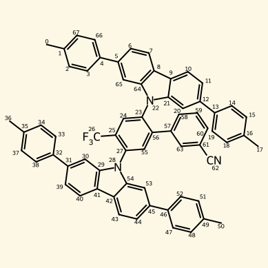 Cc1ccc(-c2ccc3c4ccc(-c5ccc(C)cc5)cc4n(-c4cc(C(F)(F)F)c(-n5c6cc(-c7ccc(C)cc7)ccc6c6ccc(-c7ccc(C)cc7)cc65)cc4-c4cccc(C#N)c4)c3c2)cc1